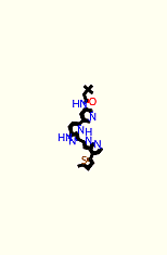 Cc1ccc(-c2ccnc3[nH]c(-c4n[nH]c5ccc(-c6cncc(NC(=O)CC(C)(C)C)c6)nc45)cc23)s1